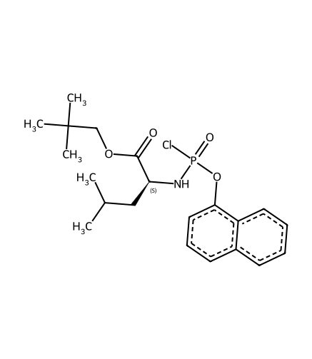 CC(C)C[C@H](NP(=O)(Cl)Oc1cccc2ccccc12)C(=O)OCC(C)(C)C